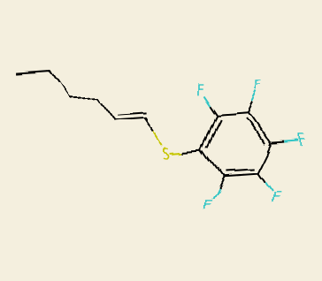 CCCCC=CSc1c(F)c(F)c(F)c(F)c1F